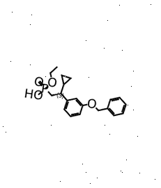 CCOP(=O)(O)C[C@H](c1cccc(OCc2ccccc2)c1)C1CC1